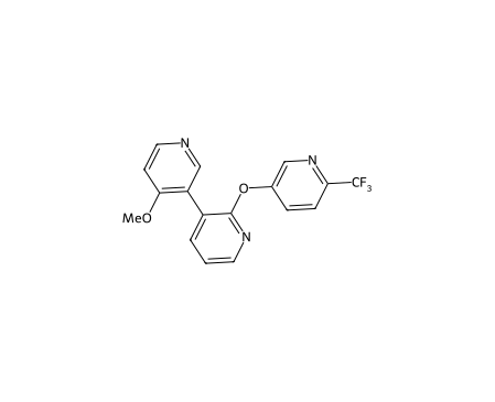 COc1ccncc1-c1cccnc1Oc1ccc(C(F)(F)F)nc1